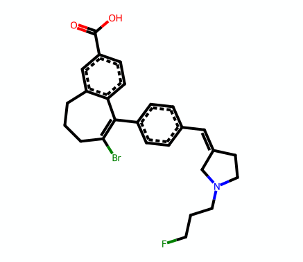 O=C(O)c1ccc2c(c1)CCCC(Br)=C2c1ccc(/C=C2/CCN(CCCF)C2)cc1